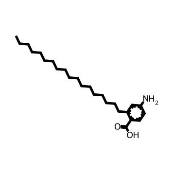 CCCCCCCCCCCCCCCCCCc1cc(N)ccc1C(=O)O